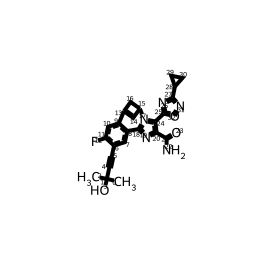 CC(C)(O)C#Cc1cc2c(cc1F)C1=CC(C1)n1c-2nc(C(N)=O)c1-c1nc(C2CC2)no1